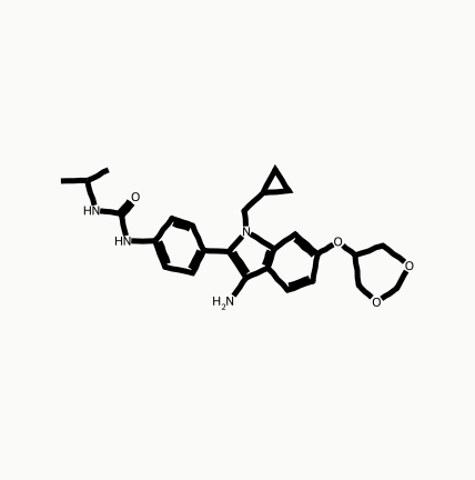 CC(C)NC(=O)Nc1ccc(-c2c(N)c3ccc(OC4COCOC4)cc3n2CC2CC2)cc1